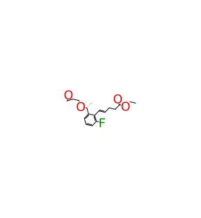 CCOC(=O)CC/C=C/c1c(F)cccc1[C@@H](C)OCC1CO1